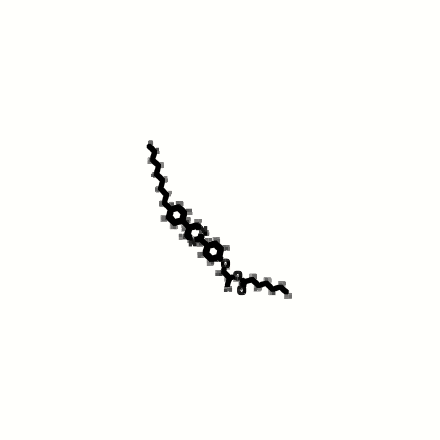 CCCCCCCCCc1ccc(-c2cnc(-c3ccc(OCC(C)OC(=O)CCCCCC)cc3)nc2)cc1